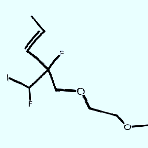 C/C=C/C(F)(COCCOC)C(F)I